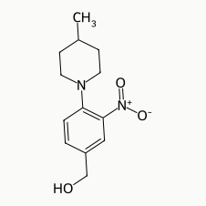 CC1CCN(c2ccc(CO)cc2[N+](=O)[O-])CC1